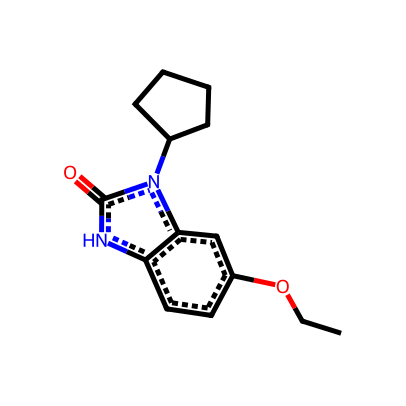 CCOc1ccc2[nH]c(=O)n(C3CCCC3)c2c1